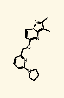 Cc1nn2ccc(OCc3cccc(N4CCCC4)n3)nc2c1C